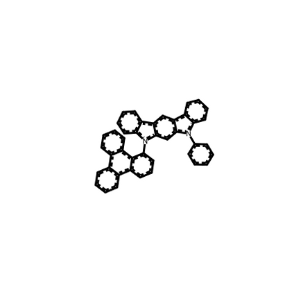 c1ccc(-n2c3ccccc3c3cc4c5ccccc5n(-c5cccc6c7ccccc7c7ccccc7c56)c4cc32)cc1